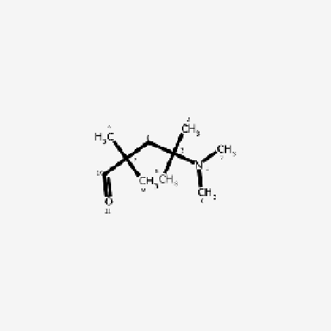 CN(C)C(C)(C)CC(C)(C)C=O